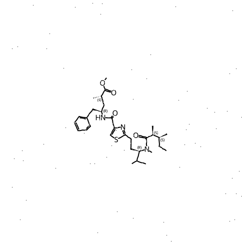 CC[C@H](C)[C@H](C)C(=O)N(C)[C@H](CCc1nc(C(=O)N[C@@H](Cc2ccccc2)C[C@H](C)C(=O)OC)cs1)C(C)C